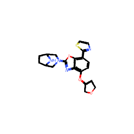 c1csc(-c2ccc(OC3CCOC3)c3nc(N4CC5CCC(C4)N5)oc23)n1